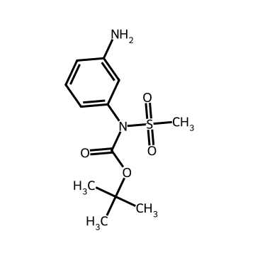 CC(C)(C)OC(=O)N(c1cccc(N)c1)S(C)(=O)=O